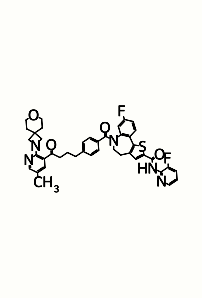 Cc1cnc(N2CC3(CCOCC3)C2)c(C(=O)CCCc2ccc(C(=O)N3CCc4cc(C(=O)Nc5ncccc5F)sc4-c4ccc(F)cc43)cc2)c1